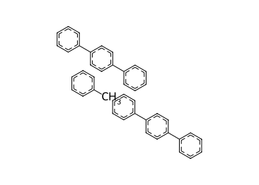 Cc1ccccc1.c1ccc(-c2ccc(-c3ccccc3)cc2)cc1.c1ccc(-c2ccc(-c3ccccc3)cc2)cc1